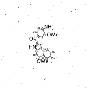 COc1cc(C(=O)c2cc3c(cc(OC)c4ccccc43)[nH]2)ccc1N